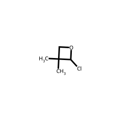 CC1(C)COC1Cl